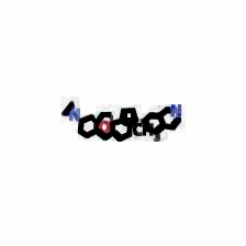 C[C@]12CC=C3C=C4CC[C@H](N5CC5)C[C@]45CC[C@]3(O5)[C@@H]1CC[C@@H]2c1ccc2ccncc2c1